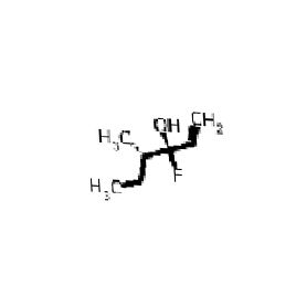 C=C[C@](O)(F)[C@@H](C)CC